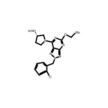 CC(=O)N[C@H]1CCN(c2nc(OCC(C)(C)C)nc3nn(Cc4ccccc4Cl)nc23)C1